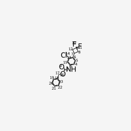 O=C(Nc1ccc(C2CC(F)(F)C2)c(Cl)c1)OCc1ccccc1